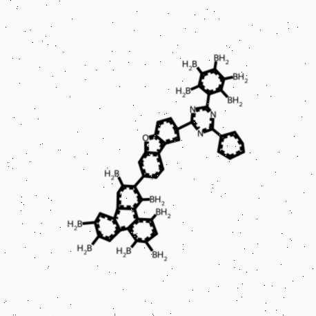 Bc1cc2c(cc1B)c1c(B)c(B)cc(B)c1c1c(B)c(-c3ccc4c(c3)oc3ccc(-c5nc(-c6ccccc6)nc(-c6c(B)c(B)c(B)c(B)c6B)n5)cc34)c(B)cc21